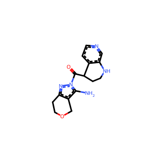 Nc1c2c(nn1C(=O)C1CCNc3cnccc31)CCOC2